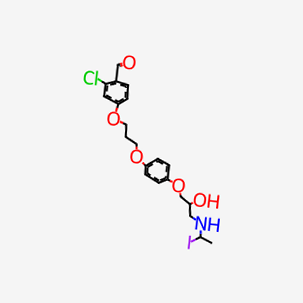 CC(I)NCC(O)COc1ccc(OCCCOc2ccc(C=O)c(Cl)c2)cc1